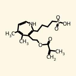 C=C(C)C(=O)OCCC1=C(CCCCS(=O)(=O)O)NC=CC(C)=C1C